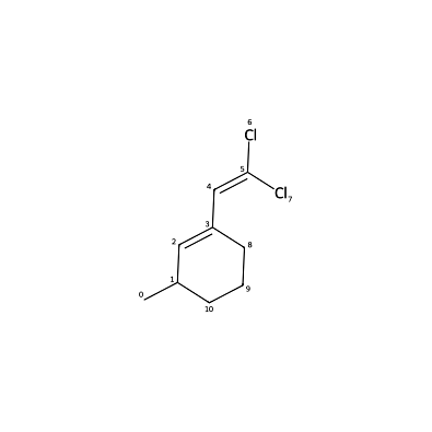 CC1C=C(C=C(Cl)Cl)CCC1